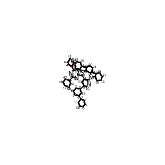 c1ccc(-c2cccc(-c3cnc(-n4c5ccccc5c5ccc6c7ccccc7sc6c54)c(Cc4nc(-c5ccccc5)nc(-c5ccccc5)n4)c3)c2)cc1